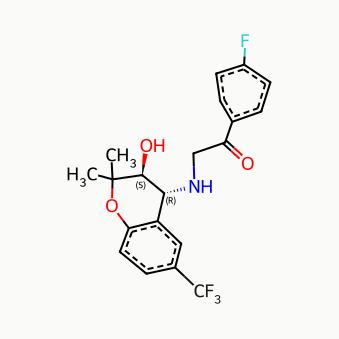 CC1(C)Oc2ccc(C(F)(F)F)cc2[C@@H](NCC(=O)c2ccc(F)cc2)[C@@H]1O